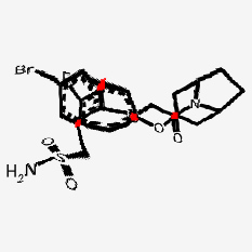 NS(=O)(=O)Cc1cc(Br)ccc1OCC(=O)N1C2CCC1CC(Oc1ccc(F)cc1)C2